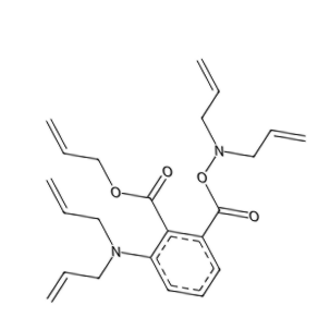 C=CCOC(=O)c1c(C(=O)ON(CC=C)CC=C)cccc1N(CC=C)CC=C